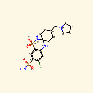 NS(=O)(=O)c1cc2c(cc1Cl)NC1(CCC(CN3CCCC3)CC1)NS2(=O)=O